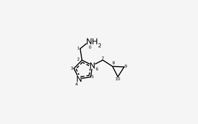 NCc1cncn1CC1CC1